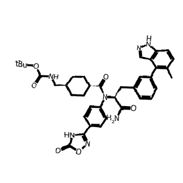 Cc1ccc2[nH]ncc2c1-c1cccc(C[C@@H](C(N)=O)N(c2ccc(-c3noc(=O)[nH]3)cc2)C(=O)[C@H]2CC[C@H](CNC(=O)OC(C)(C)C)CC2)c1